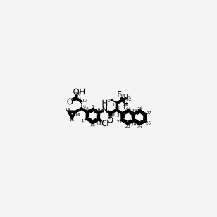 C[C@H](C(C(=O)Nc1cc([C@@H](CC(=O)O)C2CC2)ccc1Cl)c1ccc2ccccc2c1)C(F)(F)F